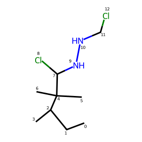 CCC(C)C(C)(C)C(Cl)NNCCl